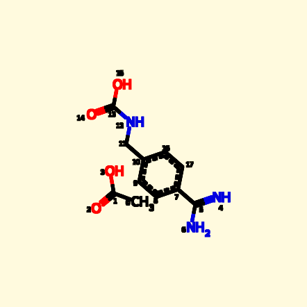 CC(=O)O.N=C(N)c1ccc(CNC(=O)O)cc1